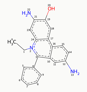 CC[n+]1c(-c2ccccc2)c2cc(N)ccc2c2cc(O)c(N)cc21